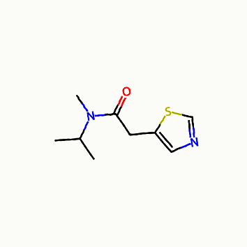 CC(C)N(C)C(=O)Cc1cncs1